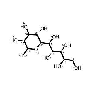 OC[C@@H](O)[C@H](O)[C@H](O)[C@H](O)[C@H]1OC(Cl)[C@@H](O)[C@@H](O)[C@@H]1O